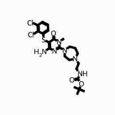 Cn1c(N2CCCN(CCNC(=O)OC(C)(C)C)CC2)nc(N)c(Sc2cccc(Cl)c2Cl)c1=O